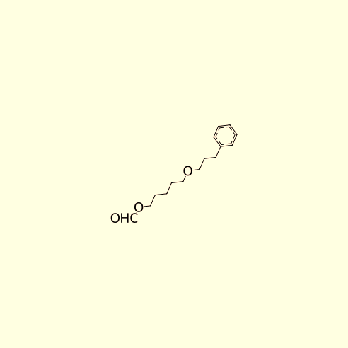 O=COCCCCCOCCCc1ccccc1